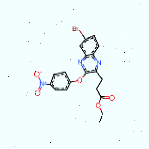 CCOC(=O)CCc1nc2ccc(Br)cc2nc1Oc1ccc([N+](=O)[O-])cc1